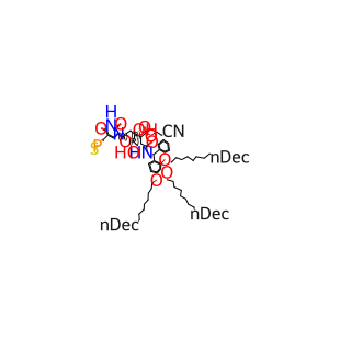 CCCCCCCCCCCCCCCCCCOc1ccc(C(NC(=O)CC(C(=O)OCCC#N)[C@]2(O)C[C@H](n3cc(C#P=S)c(=O)[nH]c3=O)O[C@@H]2CO)c2ccccc2)c(OCCCCCCCCCCCCCCCCCC)c1OCCCCCCCCCCCCCCCCCC